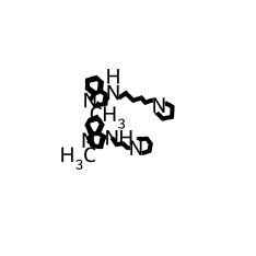 Cc1cc(NCCCCCCN2CCCCC2)c2ccccc2n1.Cc1cc(NCCCN2CCCCC2)c2ccccc2n1